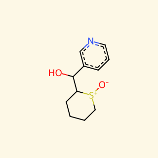 [O-][S+]1CCCCC1C(O)c1cccnc1